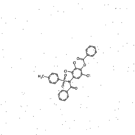 Cc1ccc(S(=O)(=O)N(C(=O)c2ccccc2)c2cc(Cl)c(OC(=O)c3ccccc3)c(Cl)c2Cl)cc1